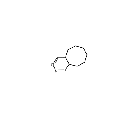 C1=NN=CC2CCCCCCC12